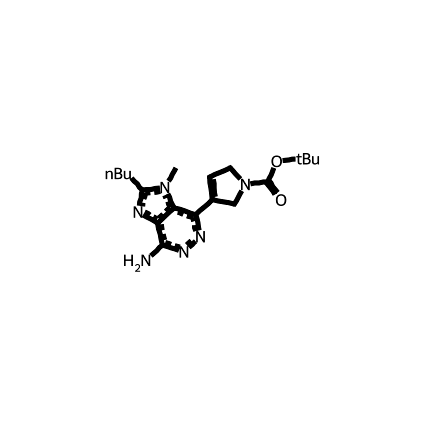 CCCCc1nc2c(N)nnc(C3=CCN(C(=O)OC(C)(C)C)C3)c2n1C